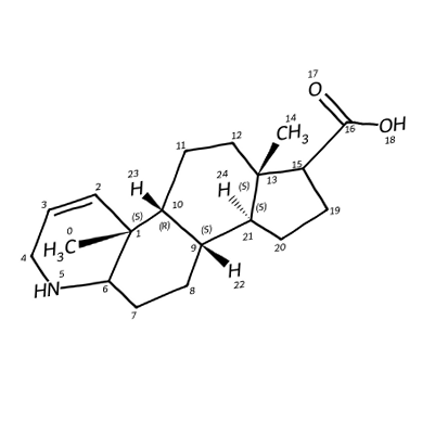 C[C@]12C=CCNC1CC[C@@H]1[C@H]2CC[C@]2(C)C(C(=O)O)CC[C@@H]12